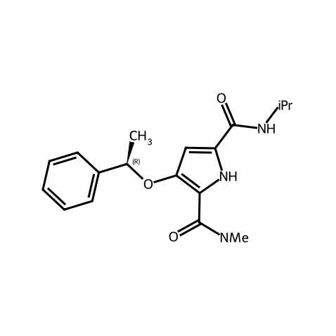 CNC(=O)c1[nH]c(C(=O)NC(C)C)cc1O[C@H](C)c1ccccc1